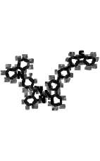 c1ccc2c(-c3ccc(-n4c5ccccc5c5ccccc54)cc3)nc(-n3c4ccccc4c4cc(-c5ccc(-c6ccc7sc8ccccc8c7c6)cc5)ccc43)nc2c1